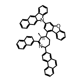 C[C@@H]1C(c2ccc3ccccc3c2)=NC(c2ccc3c(ccc4ccccc43)c2)CCC1c1cc(-n2c3ccccc3c3cc4ccccc4cc32)cc2oc3ccccc3c12